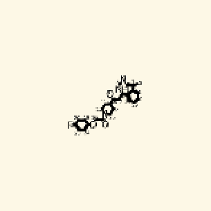 C/C1=C\N=C/NC(CC(=O)C2CCN(C(=O)COc3ccc(F)cc3)CC2)c2ccccc21